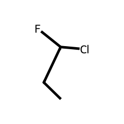 CC[C](F)Cl